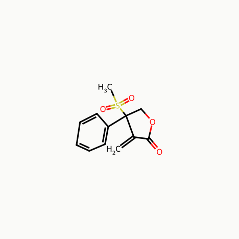 C=C1C(=O)OCC1(c1ccccc1)S(C)(=O)=O